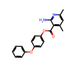 Cc1cc(C)c(C(=O)Oc2ccc(Oc3ccccc3)cc2)c(N)n1